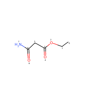 CCOC(=O)CC(N)=O